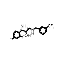 N[C@@H](c1ccc(F)cc1F)[C@H](O)CNCc1cccc(C(F)(F)F)c1